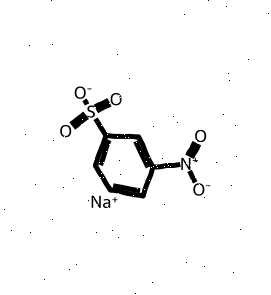 O=[N+]([O-])c1cccc(S(=O)(=O)[O-])c1.[Na+]